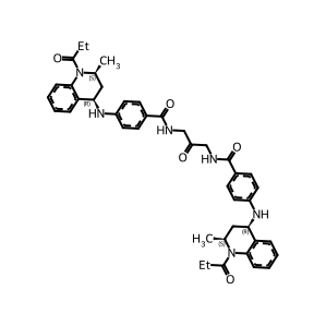 CCC(=O)N1c2ccccc2[C@H](Nc2ccc(C(=O)NCC(=O)CNC(=O)c3ccc(N[C@@H]4C[C@H](C)N(C(=O)CC)c5ccccc54)cc3)cc2)C[C@@H]1C